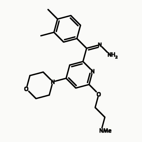 CNCCOc1cc(N2CCOCC2)cc(/C(=N\N)c2ccc(C)c(C)c2)n1